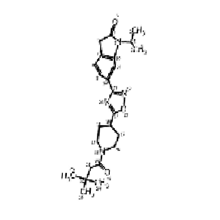 CC(C)N1C(=O)Cc2ccc(-c3noc(C4CCN(C(=O)CC(C)(C)C)CC4)n3)cc21